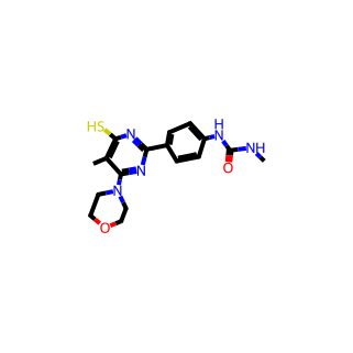 CNC(=O)Nc1ccc(-c2nc(S)c(C)c(N3CCOCC3)n2)cc1